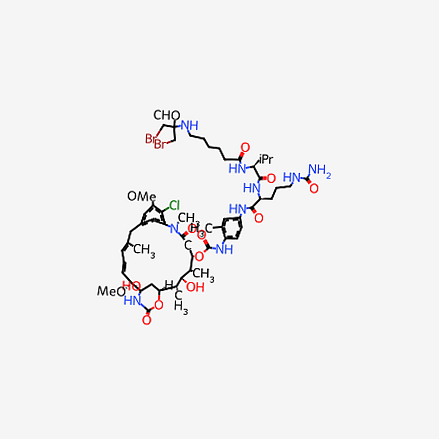 COc1cc2cc(c1Cl)N(C)C(=O)C[C@H](OC(=O)Nc1ccc(NC(=O)[C@H](CCCNC(N)=O)NC(=O)[C@@H](NC(=O)CCCCCNC(C=O)(CBr)CBr)C(C)C)cc1C)C(C)[C@@H](O)[C@H](C)[C@@H]1C[C@@](O)(NC(=O)O1)[C@H](OC)/C=C/C=C(\C)C2